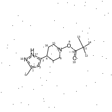 Cc1cc(C2CCN(OC(=O)C(C)(C)C)CC2)[nH]n1